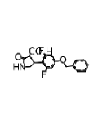 O=C(O)C1C(=O)NCC1c1c(F)cc(OCc2ccccc2)cc1F